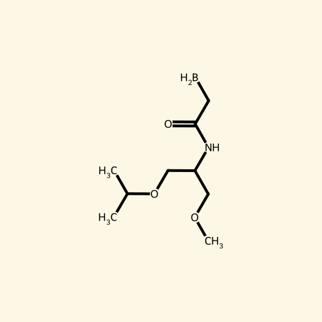 BCC(=O)NC(COC)COC(C)C